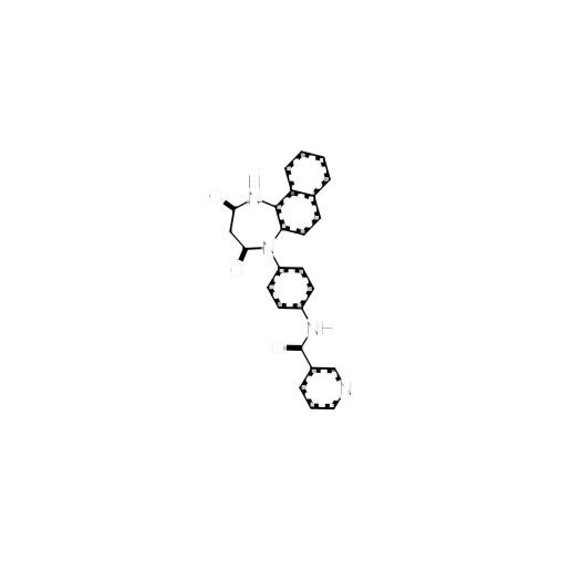 O=C1CC(=O)N(c2ccc(NC(=O)c3cccnc3)cc2)c2ccc3ccccc3c2N1